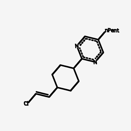 CCCCCc1cnc(C2CCC(/C=C/Cl)CC2)nc1